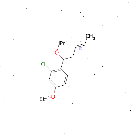 C/C=C/CC(OC(C)C)c1ccc(OCC)cc1Cl